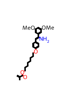 C=C(C)C(=O)OCCCCCCCCOc1ccc(/C=C(\N)c2cc(OC)cc(OC)c2)cc1